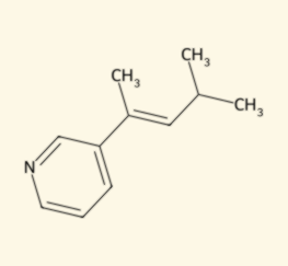 C/C(=C\C(C)C)c1cccnc1